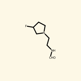 O=CNCCN1CCC(F)C1